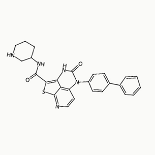 O=C(NC1CCCNC1)c1sc2nccc3c2c1NC(=O)N3c1ccc(-c2ccccc2)cc1